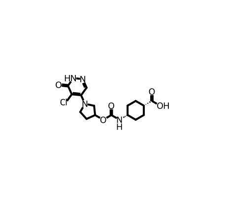 O=C(N[C@H]1CC[C@@H](C(=O)O)CC1)OC1CCN(c2cn[nH]c(=O)c2Cl)C1